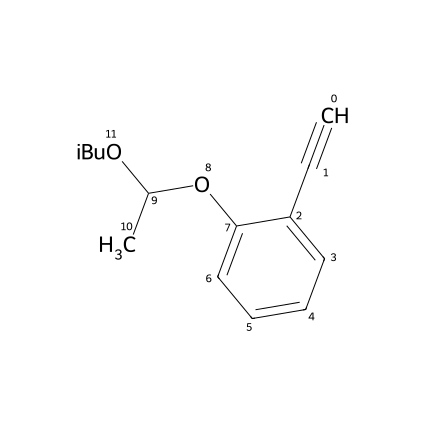 C#Cc1ccccc1OC(C)OCC(C)C